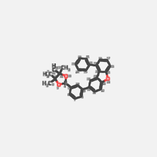 CC1(C)OB(c2cccc(-c3ccc4oc5cccc(-c6ccccc6)c5c4c3)c2)OC1(C)C